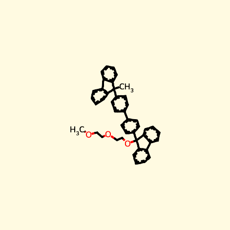 COCCOCCOC1(c2ccc(-c3ccc(C4(C)c5ccccc5-c5ccccc54)cc3)cc2)c2ccccc2-c2ccccc21